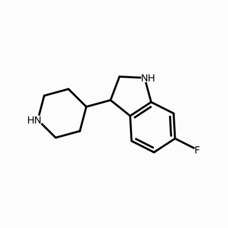 Fc1ccc2c(c1)NCC2C1CCNCC1